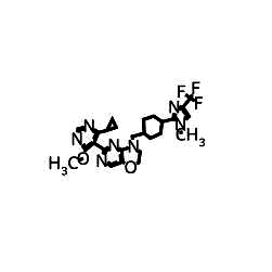 COc1ncnc(C2CC2)c1-c1ncc2c(n1)N(CC1CCC(c3nc(C(F)(F)F)cn3C)CC1)CCO2